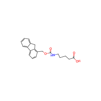 O=C(O)CCCCNC(=O)OCc1cccc2c1Cc1ccccc1-2